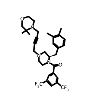 Cc1ccc(C[C@@H]2CN(CC#CCN3CCOCC3(C)C)CCN2C(=O)c2cc(C(F)(F)F)cc(C(F)(F)F)c2)cc1C